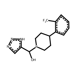 OC(c1cnn[nH]1)N1CCC(c2ccccc2C(F)(F)F)CC1